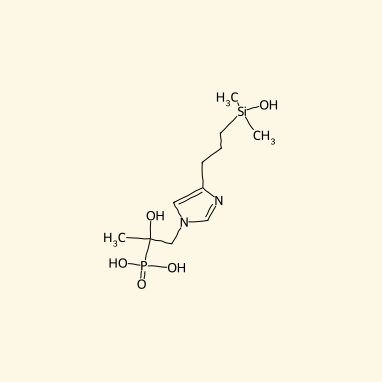 CC(O)(Cn1cnc(CCC[Si](C)(C)O)c1)P(=O)(O)O